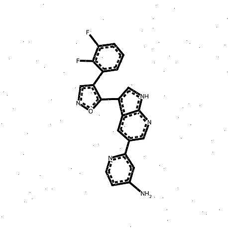 Nc1ccnc(-c2cnc3[nH]cc(-c4oncc4-c4cccc(F)c4F)c3c2)c1